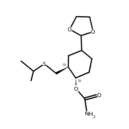 CC(C)SC[C@H]1CC(C2OCCO2)CC[C@@H]1OC(N)=O